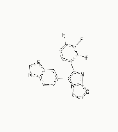 Fc1ccc(-c2nc3occn3c2-c2ccc3ncsc3c2)c(F)c1F